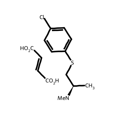 CN[C@H](C)CSc1ccc(Cl)cc1.O=C(O)C=CC(=O)O